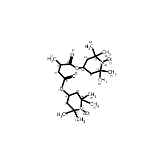 CCN1C(C)(C)CC(OC(=O)CC(C)C(=O)OC2CC(C)(C)N(CC)C(C)(C)C2)CC1(C)C